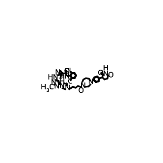 Cc1nc(Nc2ncc(C(=O)Nc3c(C)cccc3Cl)s2)cc(N2CCN(CCCCC(=O)N3CCCCN(c4ccc(C5CCC(=O)NC5=O)cc4)CCC3)CC2)n1